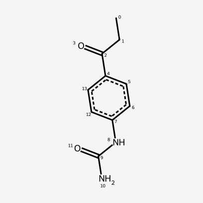 CCC(=O)c1ccc(NC(N)=O)cc1